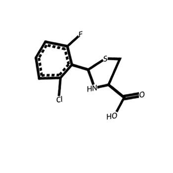 O=C(O)C1CSC(c2c(F)cccc2Cl)N1